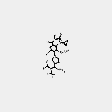 COc1c(N2CCC(C(N)C(C(F)F)C(F)F)C2)c(F)cc2c(=O)[nH]c(=O)n(C3CC3)c12